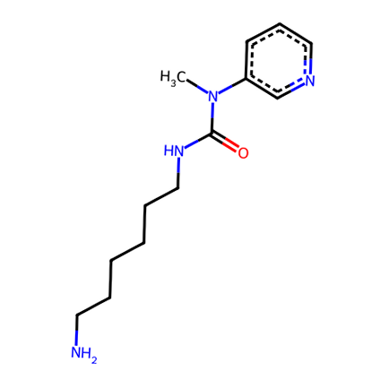 CN(C(=O)NCCCCCCN)c1cccnc1